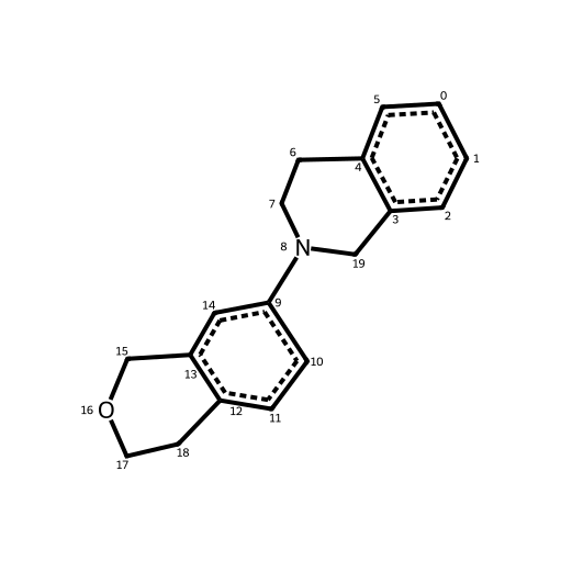 c1ccc2c(c1)CCN(c1ccc3c(c1)COCC3)C2